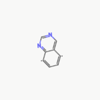 [c]1cc[c]c2ncncc12